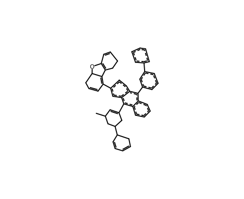 CC1C=C(c2c3ccccc3c(-c3cccc(-c4ccccc4)c3)c3ccc(C4=C5C6=C(C=CCC6)OC5CC=C4)cc23)CC(C2C=CC=CC2)C1